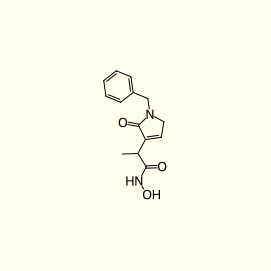 CC(C(=O)NO)C1=CCN(Cc2ccccc2)C1=O